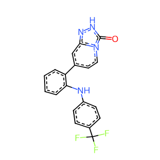 O=c1[nH]nc2cc(-c3ccccc3Nc3ccc(C(F)(F)F)cc3)ccn12